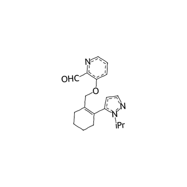 CC(C)n1nccc1C1=C(COc2cccnc2C=O)CCCC1